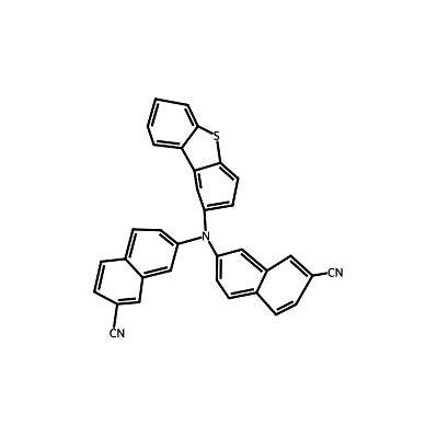 N#Cc1ccc2ccc(N(c3ccc4ccc(C#N)cc4c3)c3ccc4sc5ccccc5c4c3)cc2c1